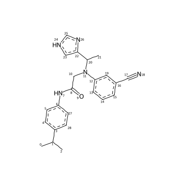 CC(C)c1ccc(NC(=O)CN(c2cccc(C#N)c2)C(C)c2c[nH]cn2)cc1